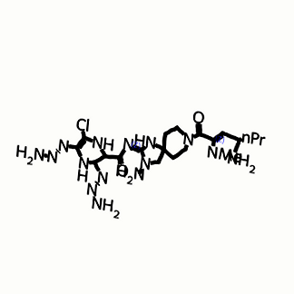 CCCC(N)/C=C(\NC)C(=O)N1CCC2(CC1)CN(N)/C(=N\C(=O)C1NC(Cl)=C(N=NN)NC1N=NN)N2